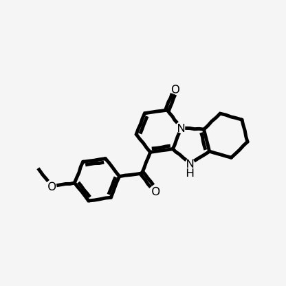 COc1ccc(C(=O)c2ccc(=O)n3c4c([nH]c23)CCCC4)cc1